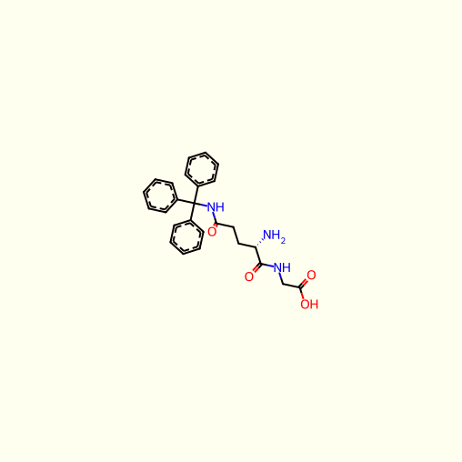 N[C@@H](CCC(=O)NC(c1ccccc1)(c1ccccc1)c1ccccc1)C(=O)NCC(=O)O